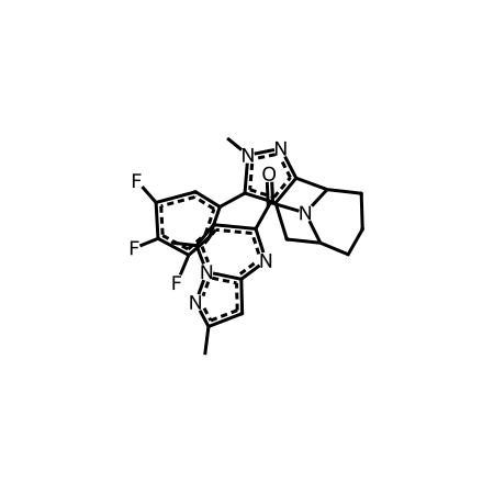 Cc1cc2nc(C(=O)N3C4CCCC3c3nn(C)c(-c5cc(F)c(F)c(F)c5)c3C4)cc(C)n2n1